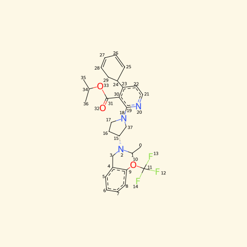 CCN(Cc1ccccc1OC(F)(F)F)[C@@H]1CCN(c2nccc(C3C=CC=CC3)c2C(=O)OC(C)C)C1